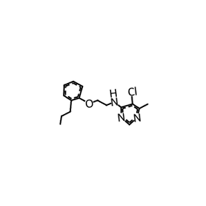 CCCc1ccccc1OCCNc1ncnc(C)c1Cl